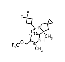 C[C@H](NC(=O)C1(C)CC2(CC2)CN1C(=O)C1CC(F)(F)C1)C(=O)COC(F)(F)F